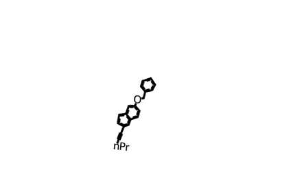 CCCC#Cc1ccc2cc(OCc3ccccc3)ccc2c1